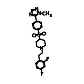 Cn1ncnc1-c1ccc(S(=O)(=O)C2CCN(CCc3ccc(F)cc3F)CC2)cc1